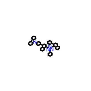 c1ccc(-c2nc(-c3c(-c4ccccc4)ccc4ccccc34)nc(-c3ccc(-c4ccc(-n5c6ccccc6c6ccccc65)cc4)c4ccccc34)n2)cc1